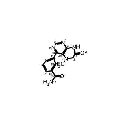 CN1CC(=O)Nc2ncnc(-c3cccc(C(N)=O)c3)c21